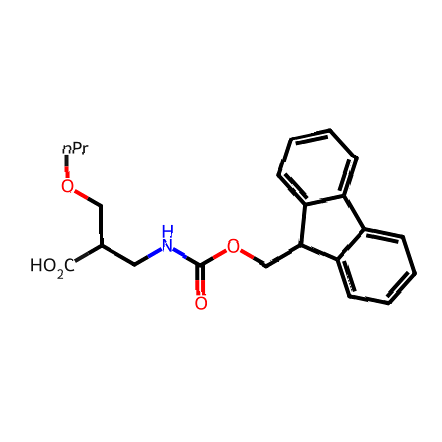 CCCOCC(CNC(=O)OCC1c2ccccc2-c2ccccc21)C(=O)O